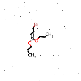 CCCO[SiH](CCCBr)OCCC